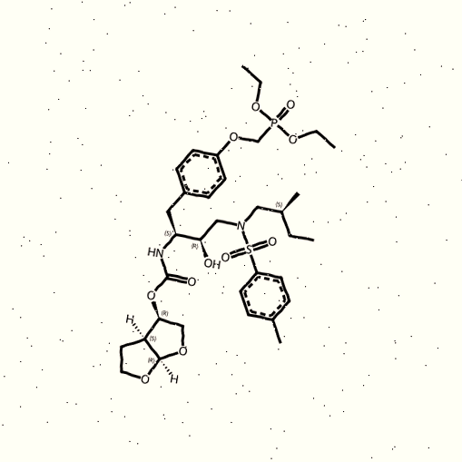 CCOP(=O)(COc1ccc(C[C@H](NC(=O)O[C@H]2CO[C@H]3OCC[C@H]32)[C@H](O)CN(C[C@@H](C)CC)S(=O)(=O)c2ccc(C)cc2)cc1)OCC